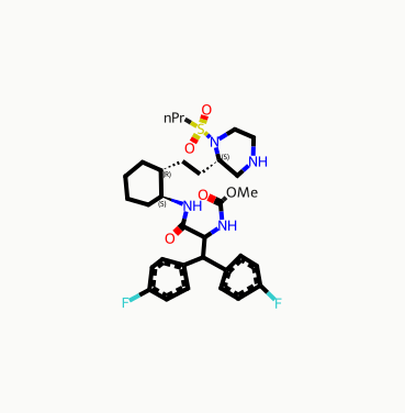 CCCS(=O)(=O)N1CCNC[C@@H]1CC[C@H]1CCCC[C@@H]1NC(=O)C(NC(=O)OC)C(c1ccc(F)cc1)c1ccc(F)cc1